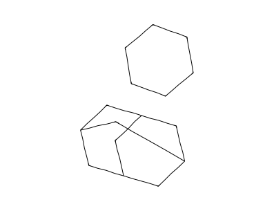 C1C2CC3CC1CC(C2)C3.C1CCCCC1